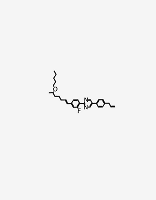 C=CCc1ccc(-c2cnc(-c3ccc(/C=C/CCCC(C)OCCCCC)cc3F)nc2)cc1